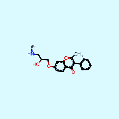 Cc1oc2cc(OCC(O)CNC(C)C)ccc2c(=O)c1-c1ccccc1